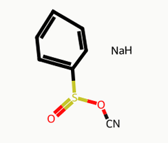 N#COS(=O)c1ccccc1.[NaH]